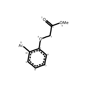 COC(=O)COc1ccccc1C(C)=O